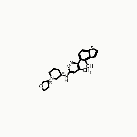 Cc1cc(N[C@@H]2CCCN([C@@H]3CCOC3)C2)nnc1-c1ccc2sccc2c1O